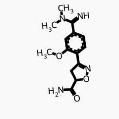 COc1cc(C(=N)N(C)C)ccc1C1=NOC(C(N)=O)C1